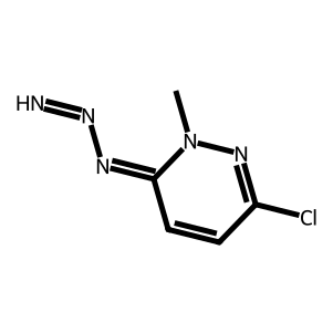 Cn1nc(Cl)cc/c1=N/N=N